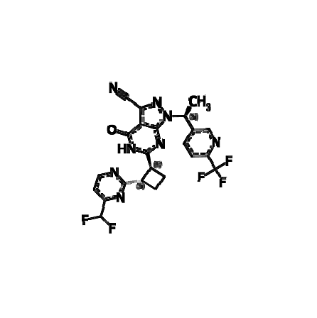 C[C@@H](c1ccc(C(F)(F)F)nc1)n1nc(C#N)c2c(=O)[nH]c([C@H]3CC[C@@H]3c3nccc(C(F)F)n3)nc21